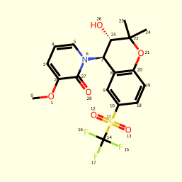 COc1cccn([C@@H]2c3cc(S(=O)(=O)C(F)(F)F)ccc3OC(C)(C)[C@H]2O)c1=O